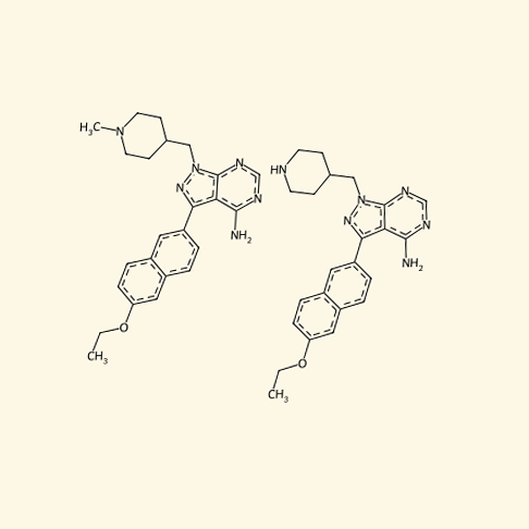 CCOc1ccc2cc(-c3nn(CC4CCN(C)CC4)c4ncnc(N)c34)ccc2c1.CCOc1ccc2cc(-c3nn(CC4CCNCC4)c4ncnc(N)c34)ccc2c1